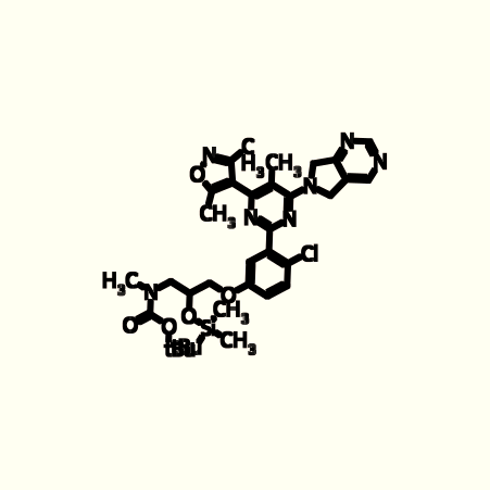 Cc1noc(C)c1-c1nc(-c2cc(OCC(CN(C)C(=O)OC(C)(C)C)O[Si](C)(C)C(C)(C)C)ccc2Cl)nc(N2Cc3cncnc3C2)c1C